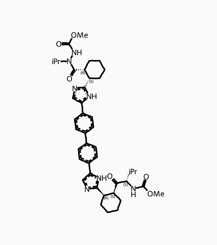 COC(=O)N[C@H](C(=O)[C@H]1CCCC[C@H]1c1ncc(-c2ccc(-c3ccc(-c4cnc([C@H]5CCCC[C@H]5C(=O)N(NC(=O)OC)C(C)C)[nH]4)cc3)cc2)[nH]1)C(C)C